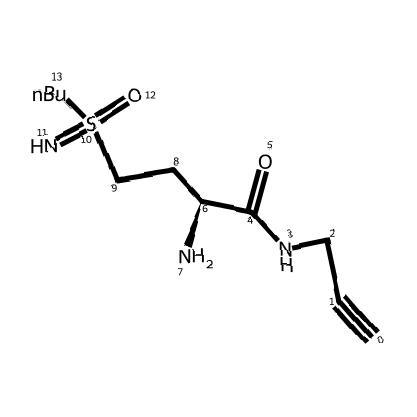 C#CCNC(=O)[C@@H](N)CCS(=N)(=O)CCCC